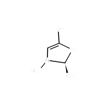 CCCC1=CN(C)[C@H](C)O1